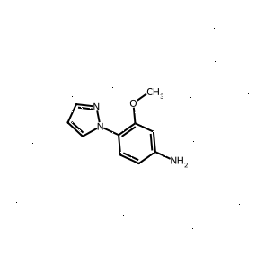 COc1cc(N)ccc1-n1cccn1